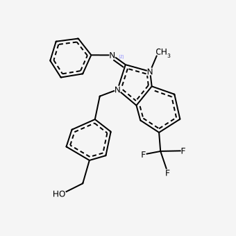 Cn1/c(=N/c2ccccc2)n(Cc2ccc(CO)cc2)c2cc(C(F)(F)F)ccc21